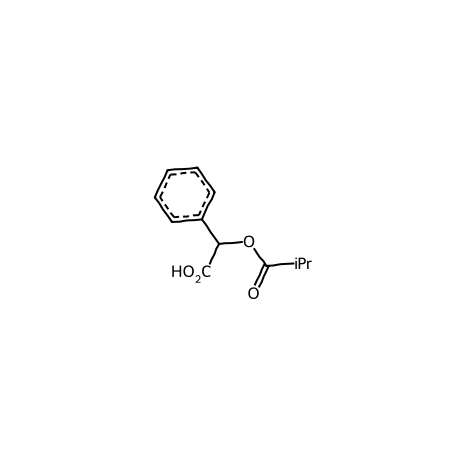 CC(C)C(=O)OC(C(=O)O)c1ccccc1